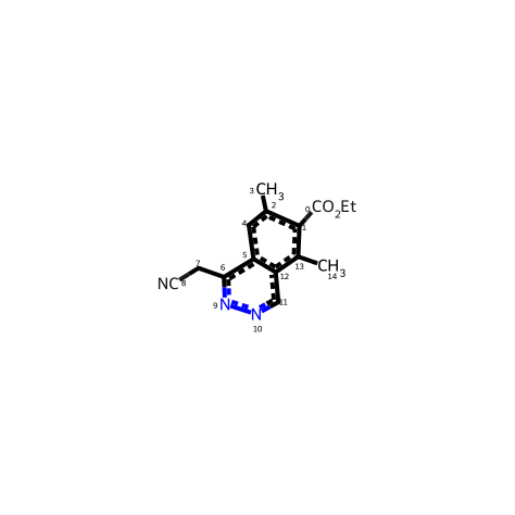 CCOC(=O)c1c(C)cc2c(CC#N)nncc2c1C